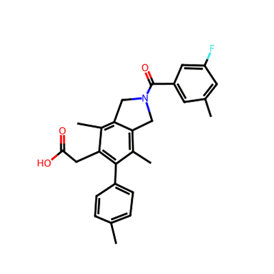 Cc1ccc(-c2c(C)c3c(c(C)c2CC(=O)O)CN(C(=O)c2cc(C)cc(F)c2)C3)cc1